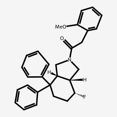 COc1ccccc1CC(=O)N1C[C@@H]2[C@H](F)CCC(c3ccccc3)(c3ccccc3)[C@@H]2C1